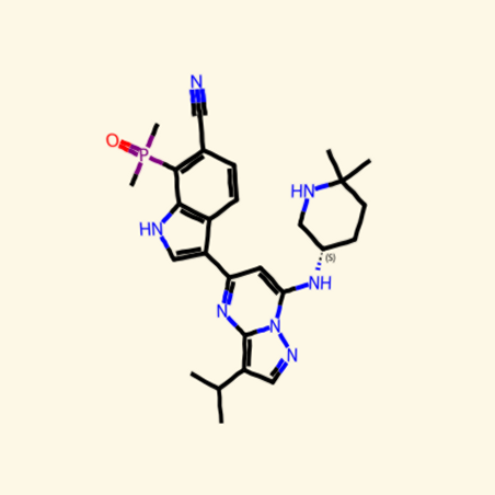 CC(C)c1cnn2c(N[C@H]3CCC(C)(C)NC3)cc(-c3c[nH]c4c(P(C)(C)=O)c(C#N)ccc34)nc12